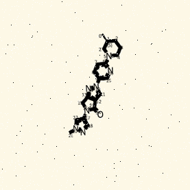 C[C@H]1CCCN(c2ccc(-n3cc4c(n3)CN(c3cnn(C)c3)C4=O)cn2)C1